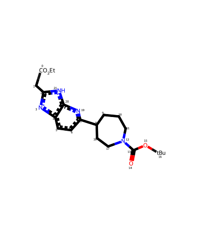 CCOC(=O)Cc1nc2ccc(C3CCCN(C(=O)OC(C)(C)C)CC3)nc2[nH]1